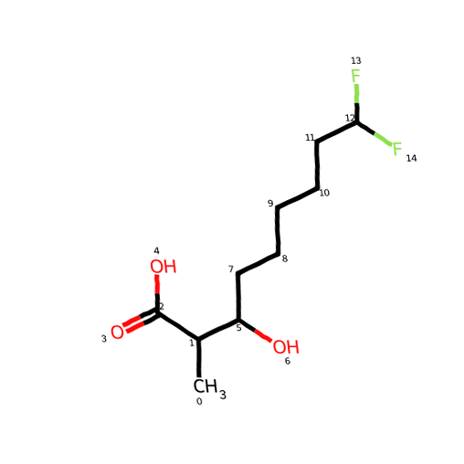 CC(C(=O)O)C(O)CCCCCC(F)F